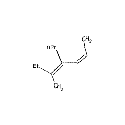 C/C=C\C(CCC)=C(/C)CC